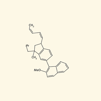 C/C=C\C=C/C1CC(C)(CC(C)C)c2cc(-c3c(OC)ccc4ccccc34)ccc21